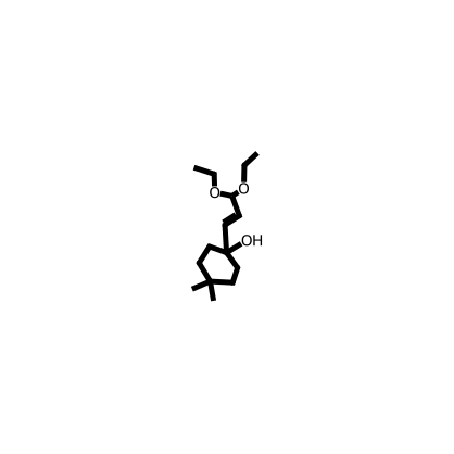 CCOC(C=CC1(O)CCC(C)(C)CC1)OCC